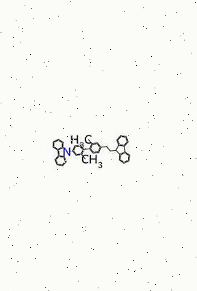 Cc1cc(CCC2c3ccccc3-c3ccccc32)ccc1-c1ccc(-n2c3ccccc3c3ccccc32)cc1C